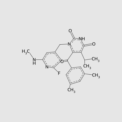 CNc1cc(Cn2c(C(=O)c3cc(C)cc(C)c3)c(C(C)C)c(=O)[nH]c2=O)cc(F)n1